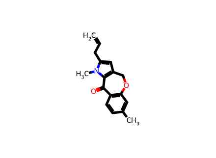 C=CCc1cc2c(n1C)C(=O)c1ccc(C)cc1OC2